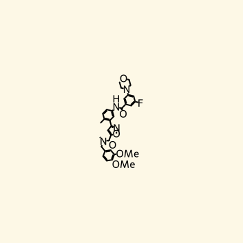 COc1ccc(CN(C)C(=O)c2cc(-c3cc(NC(=O)c4cc(F)cc(N5CCOCC5)c4)ccc3C)no2)cc1OC